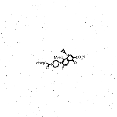 CCCCCCCC(=O)N1CCN(c2c(F)cc3c(=O)c(C(=O)O)cn(C4CC4)c3c2OC)CC1